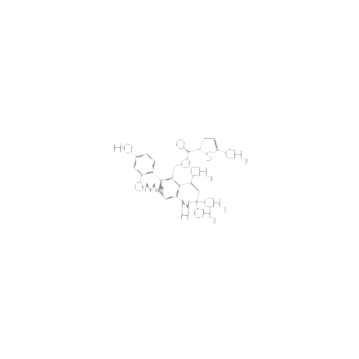 COc1cc(O)ccc1-c1ccc2c(c1COC(=O)C1CC=C(C)S1)C(C)=CC(C)(C)N2